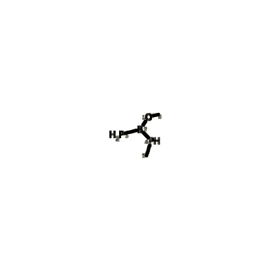 COB(P)PC